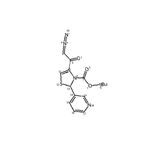 CC(C)(C)OC(=O)N1C(C(=O)C=[N+]=[N-])=CSC1c1cccnc1